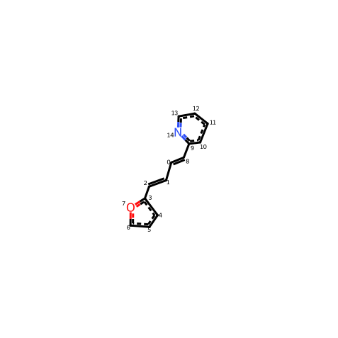 C(C=Cc1ccco1)=Cc1ccccn1